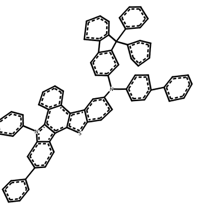 c1ccc(-c2ccc(N(c3ccc4c(c3)C(c3ccccc3)(c3ccccc3)c3ccccc3-4)c3ccc4sc5c(c4c3)c3ccccc3c3c5c4ccc(-c5ccccc5)cc4n3-c3ccccc3)cc2)cc1